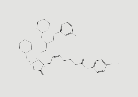 CSc1ccc(OC(=O)CCC/C=C\C[C@H]2C(=O)C[C@@H](OC3CCCCO3)[C@@H]2OCC(COc2cccc(Cl)c2)OC2CCCCO2)cc1